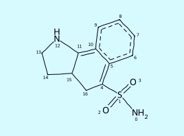 NS(=O)(=O)C1=c2ccccc2=C2NCCC2C1